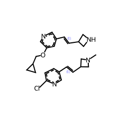 C(=C\C1CNC1)/c1cncc(OCC2CC2)c1.CN1CC(/C=C/c2ccc(Cl)nc2)C1